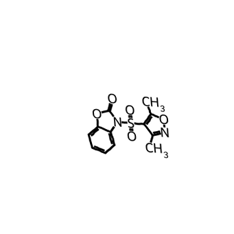 Cc1noc(C)c1S(=O)(=O)n1c(=O)oc2ccccc21